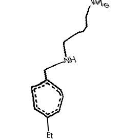 CCc1ccc(CNCCCNC)cc1